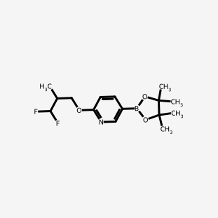 CC(COc1ccc(B2OC(C)(C)C(C)(C)O2)cn1)C(F)F